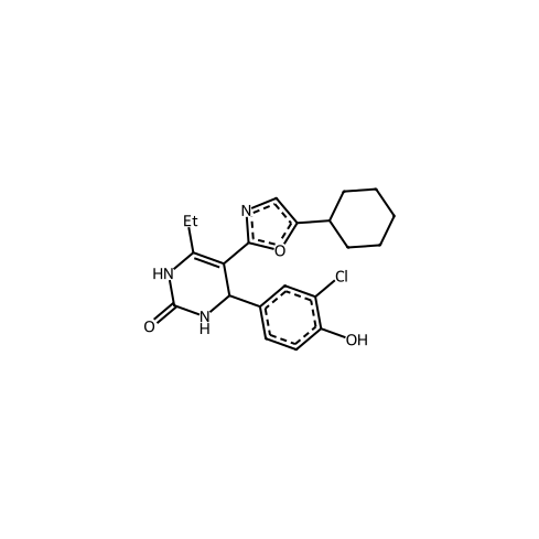 CCC1=C(c2ncc(C3CCCCC3)o2)C(c2ccc(O)c(Cl)c2)NC(=O)N1